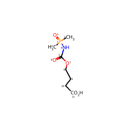 CP(C)(=O)NC(=O)OCCCC(=O)O